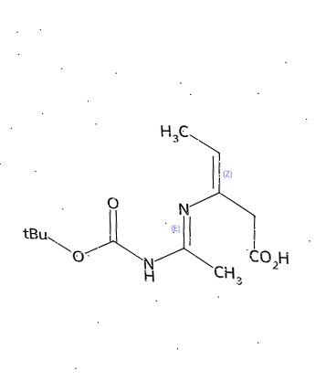 C/C=C(CC(=O)O)\N=C(/C)NC(=O)OC(C)(C)C